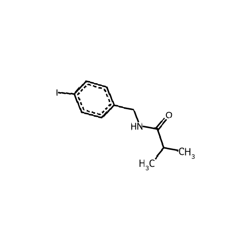 CC(C)C(=O)NCc1ccc(I)cc1